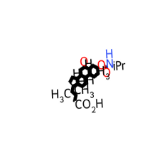 CC(C)NC(=O)O[C@@H]1CC[C@@]2(C)[C@@H](C1)C(=O)C[C@@H]1[C@@H]2CC[C@]2(C)[C@@H]([C@H](C)CCC(=O)O)CC[C@@H]12